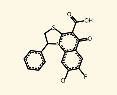 O=C(O)c1c2n(c3cc(Cl)c(F)cc3c1=O)C(c1ccccc1)CS2